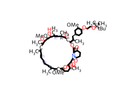 CO[C@H]1C[C@@H]2CC[C@@H](C)[C@@](O)(O2)C(=O)C(=O)N2CCCC[C@H]2C(=O)O[C@H]([C@H](C)C[C@@H]2CC[C@@H](OCCO[Si](C)(C)C(C)(C)C)[C@H](OC)C2)CC(=O)[C@H](C)/C=C(\C)[C@@H](O)[C@@H](OC)C(=O)[C@H](C)C[C@H](C)/C=C/C=C/C=C/1C